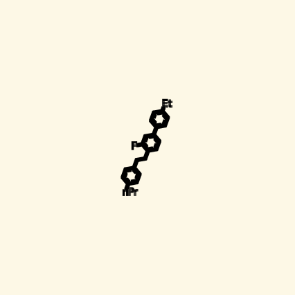 CCCc1ccc(CCc2ccc(-c3ccc(CC)cc3)cc2F)cc1